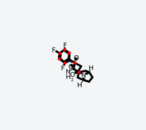 N[C@H](Cc1cc(F)c(F)cc1F)C1C[C@H]2CC[C@@H](C1)N2C(=O)CS(=O)(=O)C1CCCCC1